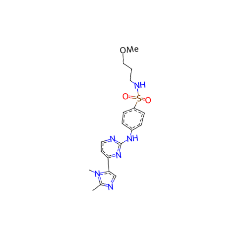 COCCCNS(=O)(=O)c1ccc(Nc2nccc(-c3cnc(C)n3C)n2)cc1